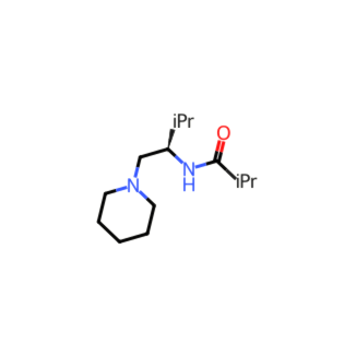 CC(C)C(=O)N[C@@H](CN1CCCCC1)C(C)C